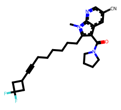 Cn1c(CCCCCCC#CC2CC(F)(F)C2)c(C(=O)N2CCCC2)c2cc(C#N)cnc21